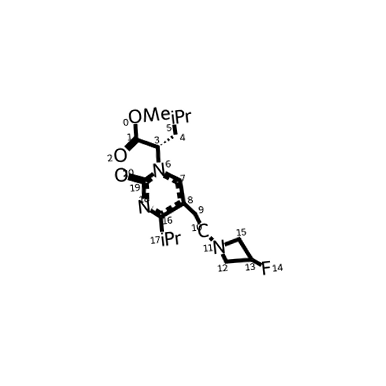 COC(=O)[C@H](CC(C)C)n1cc(CCN2CC(F)C2)c(C(C)C)nc1=O